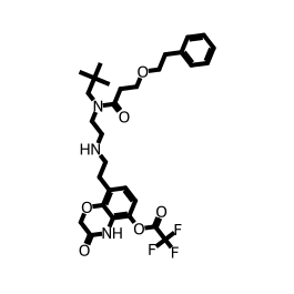 CC(C)(C)CN(CCNCCc1ccc(OC(=O)C(F)(F)F)c2c1OCC(=O)N2)C(=O)CCOCCc1ccccc1